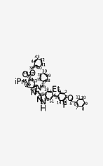 CCc1cc(OCc2ccccc2)c(F)cc1-c1ccc2c(-c3nc4c(n3Cc3ccccc3)C[C@@H](C(=O)OCc3ccccc3)N(C(C)C)C4)n[nH]c2c1